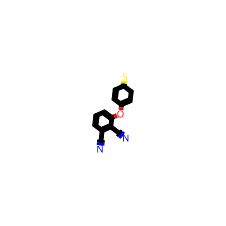 N#Cc1cccc(OC2=CCC(=S)C=C2)c1C#N